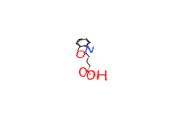 Cc1ccccc1N(C)C(=O)CCCC(=O)O